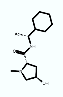 CC(=O)[C@@H](NC(=O)[C@@H]1C[C@@H](O)CN1C)C1CCCCC1